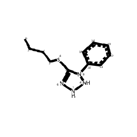 CCCCSC1=NNNN1c1ccccc1